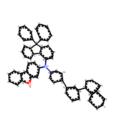 c1ccc(C2(c3ccccc3)c3ccccc3-c3c(N(c4ccc(-c5cccc(-c6cccc7ccccc67)c5)cc4)c4ccc5c(c4)oc4ccccc45)cccc32)cc1